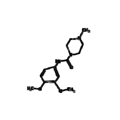 COc1ccc(NC(=O)N2CCN(C)CC2)cc1OC